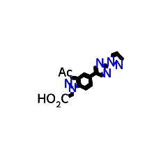 CC(=O)c1nn(CC(=O)O)c2ccc(-c3cnc(-n4cccn4)nc3)cc12